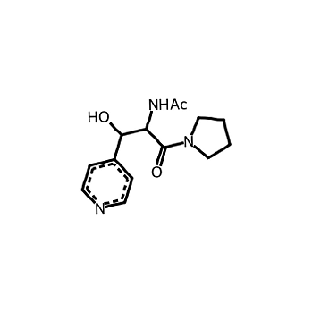 CC(=O)NC(C(=O)N1CCCC1)C(O)c1ccncc1